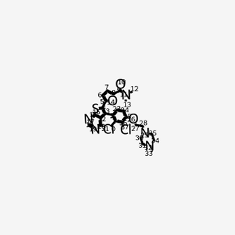 Cc1c(-c2c(-c3ccc(C(=O)N(C)C)o3)sc3ncnc(Cl)c23)ccc(OCCN2CCN(C)CC2)c1Cl